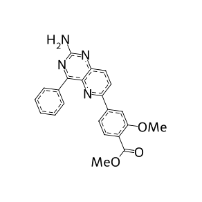 COC(=O)c1ccc(-c2ccc3nc(N)nc(-c4ccccc4)c3n2)cc1OC